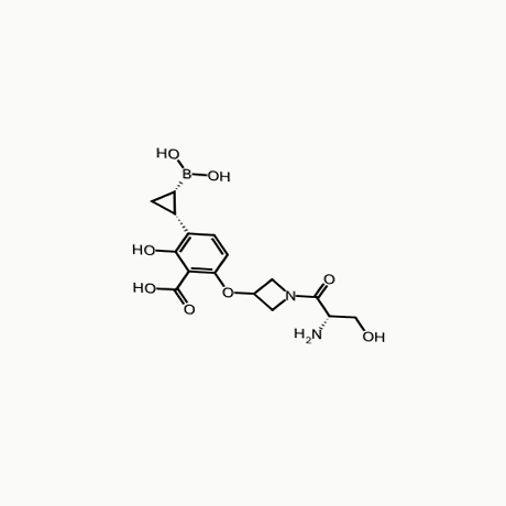 N[C@@H](CO)C(=O)N1CC(Oc2ccc([C@@H]3C[C@@H]3B(O)O)c(O)c2C(=O)O)C1